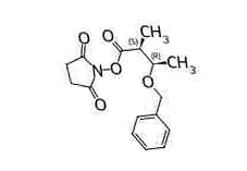 C[C@H](C(=O)ON1C(=O)CCC1=O)[C@@H](C)OCc1ccccc1